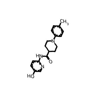 Cc1ccc(N2CCC(C(=O)Nc3ccc(O)cn3)CC2)cc1